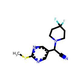 CSc1ncc(C(C#N)N2CCC(F)(F)CC2)cn1